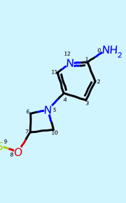 Nc1ccc(N2CC(OS)C2)cn1